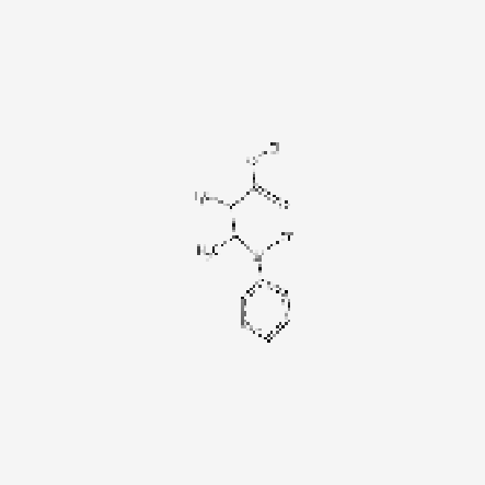 COC(=O)C(C)C(C)[S+]([O-])c1ccccc1